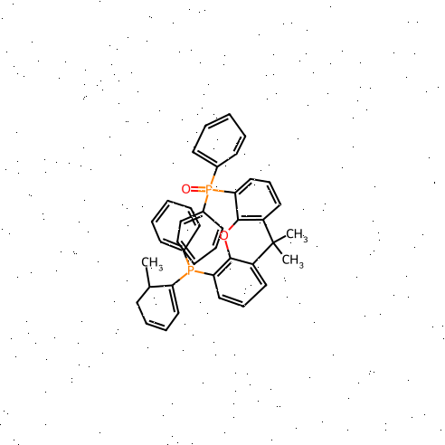 CC1CC=CC=C1P(c1ccccc1)c1cccc2c1Oc1c(cccc1P(=O)(c1ccccc1)c1ccccc1)C2(C)C